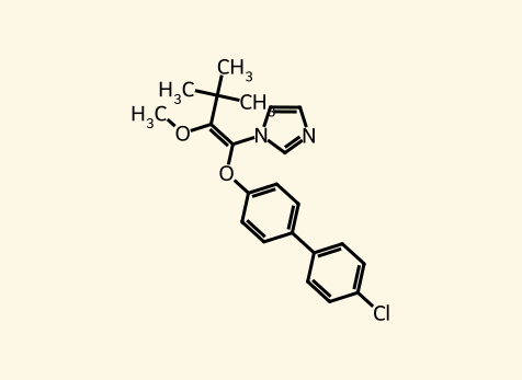 COC(=C(Oc1ccc(-c2ccc(Cl)cc2)cc1)n1ccnc1)C(C)(C)C